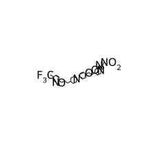 O=[N+]([O-])c1cn2c(n1)OC(COc1ccc(N3CCC(CCOc4ccc(C(F)(F)F)cn4)CC3)cc1)CC2